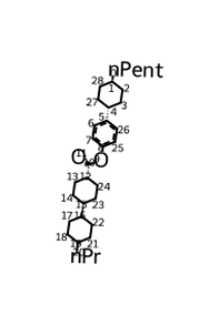 CCCCC[C@H]1CC[C@H](c2ccc(OC(=O)[C@H]3CC[C@H](C4CCC(CCC)CC4)CC3)cc2)CC1